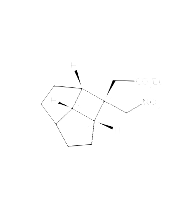 CCOC(=O)C[C@@]1(C[N+](=O)[O-])[C@@H]2CCC3CC[C@H]1[C@@H]32